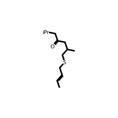 CC=CCSCC(C)CC(=O)CC(C)C